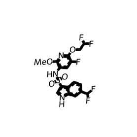 COc1nc(OCC(F)F)c(F)cc1NS(=O)(=O)c1c[nH]c2cc(C(F)F)ccc12